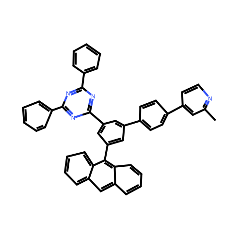 Cc1cc(-c2ccc(-c3cc(-c4nc(-c5ccccc5)nc(-c5ccccc5)n4)cc(-c4c5ccccc5cc5ccccc45)c3)cc2)ccn1